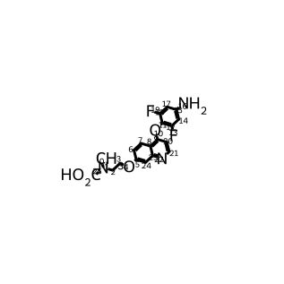 CN(CCOc1ccc2c(Oc3c(F)cc(N)cc3F)ccnc2c1)C(=O)O